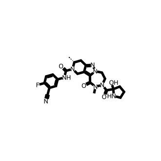 C[C@@H]1Cc2nn3c(c2CN1C(=O)Nc1ccc(F)c(C#N)c1)C(=O)N(C)N(C(=O)C1(O)CCCN1)CC3